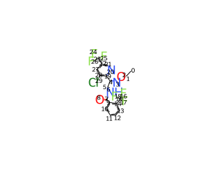 CCON=C(CNC(=O)c1ccccc1C(F)(F)F)c1ncc(C(F)(F)F)cc1Cl